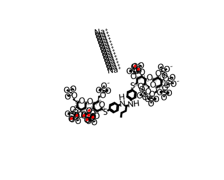 CCCC(Nc1ccc(S[C@@H]2O[C@H](COS(=O)(=O)[O-])[C@@H](O[C@H]3O[C@H](COS(=O)(=O)[O-])[C@@H](OS(=O)(=O)[O-])[C@H](OS(=O)(=O)[O-])[C@H]3OS(=O)(=O)[O-])[C@H](OS(=O)(=O)[O-])[C@H]2OS(=O)(=O)[O-])cc1)Nc1ccc(S[C@@H]2O[C@H](COS(=O)(=O)[O-])[C@@H](O[C@H]3O[C@H](COS(=O)(=O)[O-])[C@@H](OS(=O)(=O)[O-])[C@H](OS(=O)(=O)[O-])[C@H]3OS(=O)(=O)[O-])[C@H](OS(=O)(=O)[O-])[C@H]2OS(=O)(=O)[O-])cc1.[Na+].[Na+].[Na+].[Na+].[Na+].[Na+].[Na+].[Na+].[Na+].[Na+].[Na+].[Na+].[Na+].[Na+]